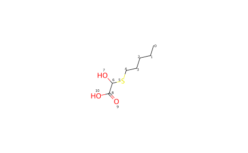 CCCCCSC(O)C(=O)O